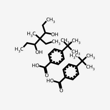 CC(C)(C)c1ccc(C(=O)O)cc1.CC(C)(C)c1ccc(C(=O)O)cc1.CCC(O)C(C)(CC)C(O)CC